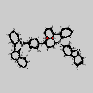 c1ccc(-c2ccccc2N(c2ccc(-c3ccc(-n4c5ccccc5c5ccc6ccccc6c54)cc3)cc2)c2ccc3c(c2)oc2ccccc23)cc1